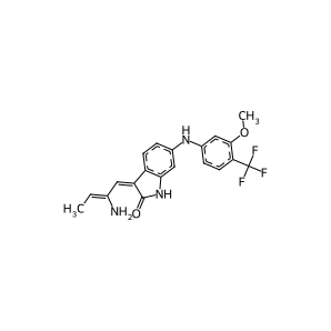 C/C=C(N)/C=C1\C(=O)Nc2cc(Nc3ccc(C(F)(F)F)c(OC)c3)ccc21